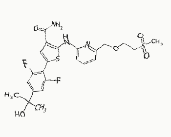 CC(C)(O)c1cc(F)c(-c2cc(C(N)=O)c(Nc3cccc(COCCS(C)(=O)=O)n3)s2)c(F)c1